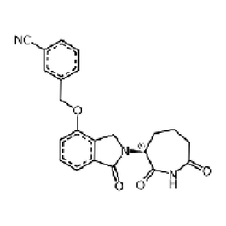 N#Cc1cccc(COc2cccc3c2CN([C@H]2CCCC(=O)NC2=O)C3=O)c1